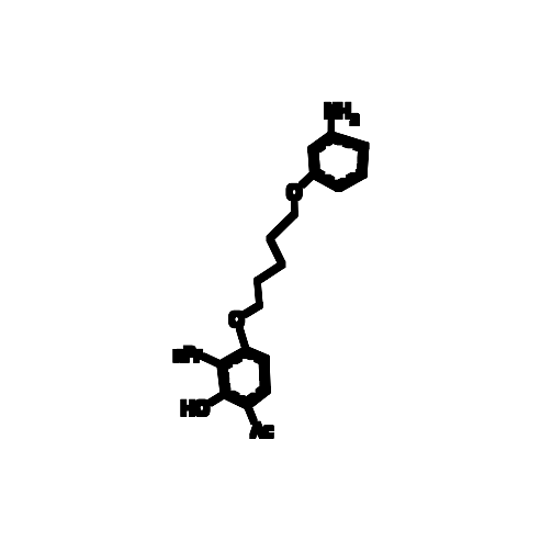 CCCc1c(OCCCCCOc2cccc(N)c2)ccc(C(C)=O)c1O